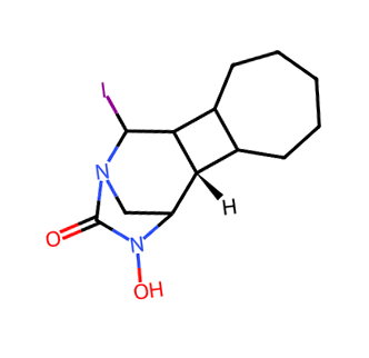 O=C1N(O)C2CN1C(I)C1C3CCCCCC3[C@@H]12